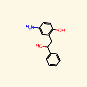 Nc1ccc(O)c(CC(O)c2ccccc2)c1